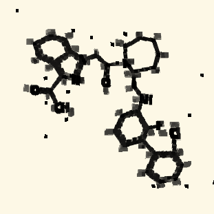 CC(=O)c1nn(CC(=O)N2CCCCC[C@H]2CNc2cccc(-c3ccccc3Cl)c2F)c2ccccc12